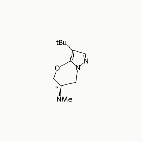 CN[C@H]1COc2c(C(C)(C)C)cnn2C1